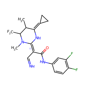 CC1C(=C2CC2)N/C(=C(/C=N)C(=O)Nc2ccc(F)c(F)c2)N(C)C1C(F)(F)F